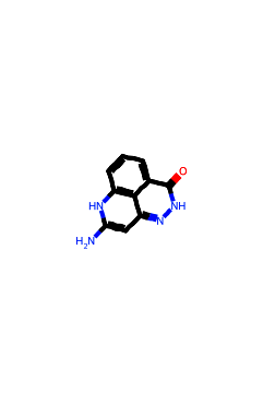 NC1=Cc2n[nH]c(=O)c3cccc(c23)N1